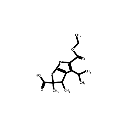 CCOC(=O)c1[nH]c2c(c1C(C)C)C(C)C(C)(C(=O)O)S2